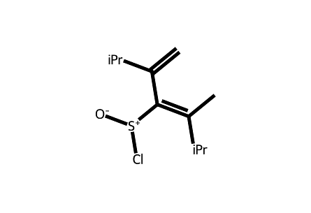 C=C(/C(=C(\C)C(C)C)[S+]([O-])Cl)C(C)C